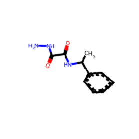 CC(NC(=O)C(=O)NN)c1ccccc1